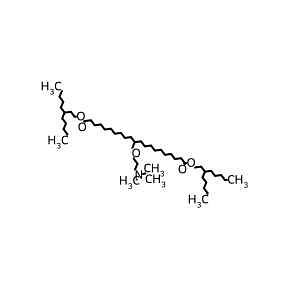 CCCCCC(CCCCC)CCOC(=O)CCCCCCCCCC(CCCCCCCCCC(=O)OCCC(CCCCC)CCCCC)COCCCN(C)C(C)C